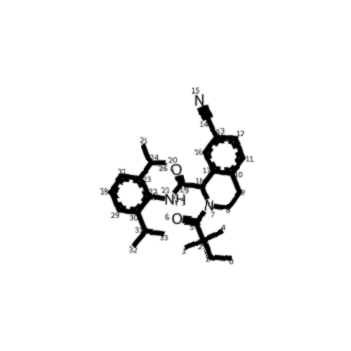 CCC(C)(C)C(=O)N1CCc2ccc(C#N)cc2C1C(=O)Nc1c(C(C)C)cccc1C(C)C